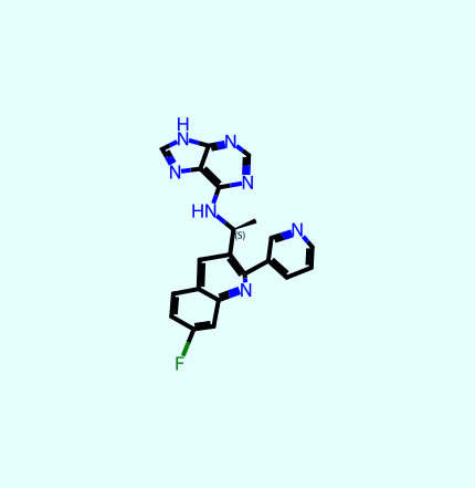 C[C@H](Nc1ncnc2[nH]cnc12)c1cc2ccc(F)cc2nc1-c1cccnc1